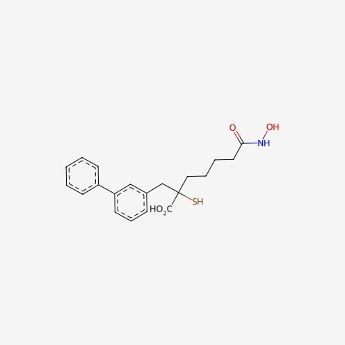 O=C(CCCCC(S)(Cc1cccc(-c2ccccc2)c1)C(=O)O)NO